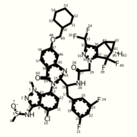 Cn1nc(N[S+](C)[O-])c2c(Cl)ccc(-n3c(C(Cc4cc(F)cc(F)c4)NC(=O)Cn4nc(C(F)F)c5c4C(F)(F)[C@@H]4CC54)nc4cc(OCC5CCCCC5)ccc4c3=O)c21